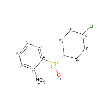 O=[N+]([O-])c1ccccc1[S+]([O-])C1CCC(Cl)CC1